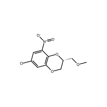 COC[C@@H]1COc2cc(Cl)cc([N+](=O)[O-])c2O1